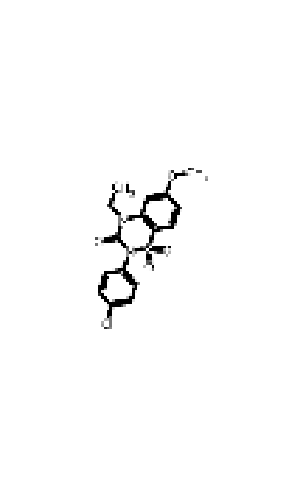 CCN1C(=O)N(c2ccc(Cl)cc2)S(=O)(=O)c2ccc(OC)cc21